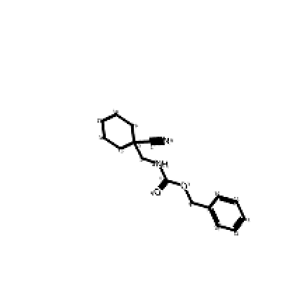 N#CC1(CNC(=O)OCc2ccccc2)CCCCC1